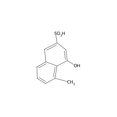 Cc1cccc2cc(S(=O)(=O)O)cc(O)c12